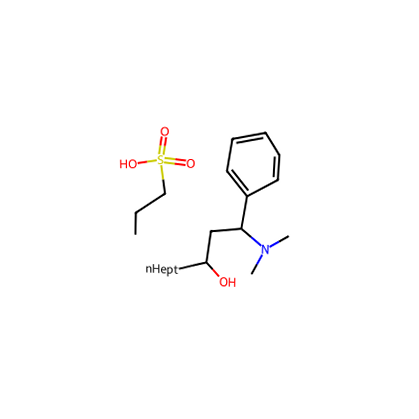 CCCCCCCC(O)CC(c1ccccc1)N(C)C.CCCS(=O)(=O)O